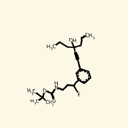 CCCC(O)(C#Cc1cccc(C(F)CCNC(=O)OC(C)(C)C)c1)CCC